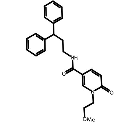 COCCn1cc(C(=O)NCCC(c2ccccc2)c2ccccc2)ccc1=O